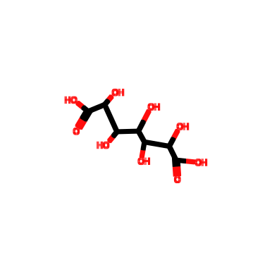 O=C(O)C(O)C(O)C(O)C(O)C(O)C(=O)O